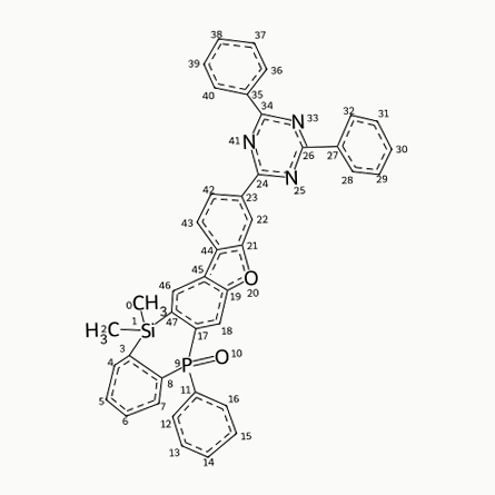 C[Si]1(C)c2ccccc2P(=O)(c2ccccc2)c2cc3oc4cc(-c5nc(-c6ccccc6)nc(-c6ccccc6)n5)ccc4c3cc21